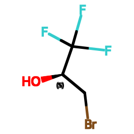 O[C@H](CBr)C(F)(F)F